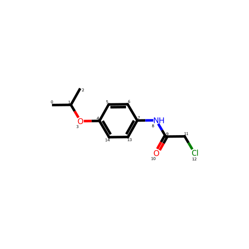 CC(C)Oc1ccc(NC(=O)CCl)cc1